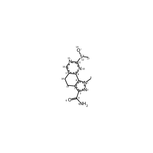 Cn1nc(C(N)=O)c2c1-c1nc([S+](C)[O-])ncc1CC2